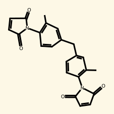 Cc1cc(Cc2ccc(N3C(=O)C=CC3=O)c(C)c2)ccc1N1C(=O)C=CC1=O